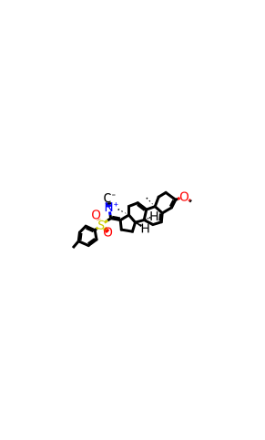 [C-]#[N+]C(=C1CC[C@H]2[C@@H]3CC=C4C=C(OC)CC[C@]4(C)C3=CC[C@]12C)S(=O)(=O)c1ccc(C)cc1